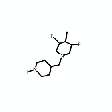 CC1C(F)CN(CC2CCN(I)CC2)CC1F